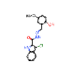 COc1ccc(O)c(C=NNC(=O)c2[nH]c3ccccc3c2Cl)c1